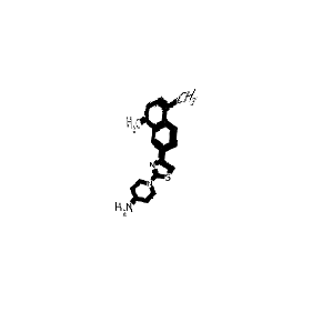 CC1CCC(C)c2cc(-c3csc(N4CCC(N)CC4)n3)ccc21